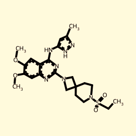 CCS(=O)(=O)N1CCC2(CC1)CN(c1nc(Nc3cc(C)n[nH]3)c3cc(OC)c(OC)cc3n1)C2